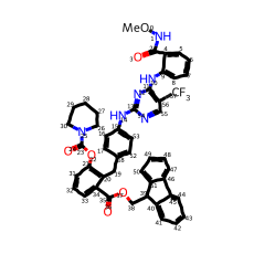 CONC(=O)c1ccccc1Nc1nc(Nc2ccc(Cc3c(OC(=O)N4CCCCC4)cccc3C(=O)OCC3c4ccccc4-c4ccccc43)cc2)ncc1C(F)(F)F